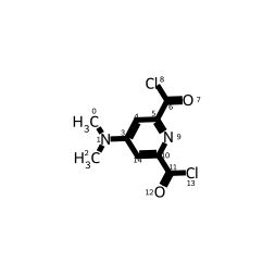 CN(C)c1cc(C(=O)Cl)nc(C(=O)Cl)c1